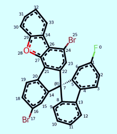 Fc1ccc2c(c1)[C@]1(c3ccccc3-2)c2cc(Br)ccc2-c2c1cc(Br)c1c2oc2ccccc21